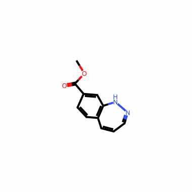 COC(=O)c1ccc2c(c1)NN=CC=C2